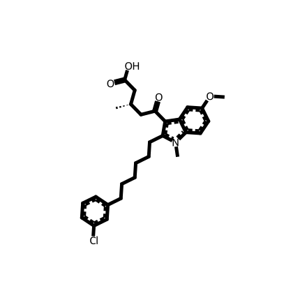 COc1ccc2c(c1)c(C(=O)C[C@H](C)CC(=O)O)c(CCCCCCc1cccc(Cl)c1)n2C